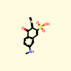 C=C=C1C(=O)c2ccc(NC)cc2C=C1S(=O)(=O)O